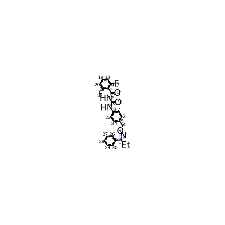 CC/C(=N/OCc1ccc(NC(=O)NC(=O)c2c(F)cccc2F)cc1)c1ccccc1